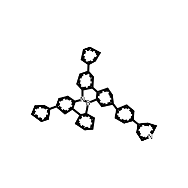 c1ccc(-c2ccc3c(c2)-c2ccccc2B2c4cc(-c5ccc(-c6ccncc6)cc5)ccc4-c4cc(-c5ccccc5)ccc4N23)cc1